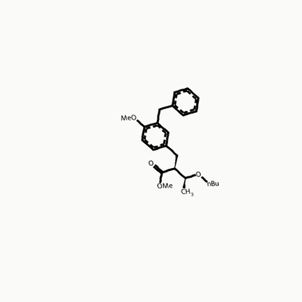 CCCCO[C@@H](C)[C@H](Cc1ccc(OC)c(Cc2ccccc2)c1)C(=O)OC